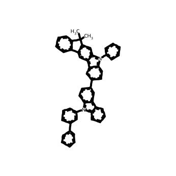 CC1(C)c2ccccc2-c2cc3c4cc(-c5ccc6c(c5)c5ccccc5n6-c5cccc(-c6ccccc6)c5)ccc4n(-c4ccccc4)c3cc21